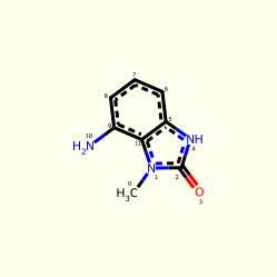 Cn1c(=O)[nH]c2cccc(N)c21